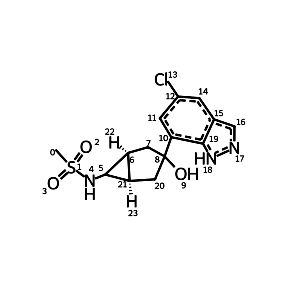 CS(=O)(=O)NC1[C@H]2CC(O)(c3cc(Cl)cc4cn[nH]c34)C[C@@H]12